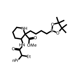 CCCC(CC)C(=O)NC1CCCNC1(CCCCB1OC(C)(C)C(C)(C)O1)C(=O)OC